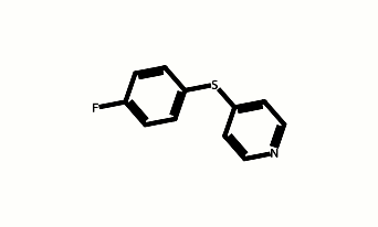 Fc1ccc(Sc2ccncc2)cc1